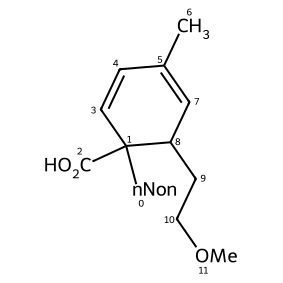 CCCCCCCCCC1(C(=O)O)C=CC(C)=CC1CCOC